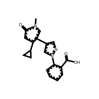 Cn1cc(-c2cnn(-c3ccccc3C(=O)O)c2)c(C2CC2)cc1=O